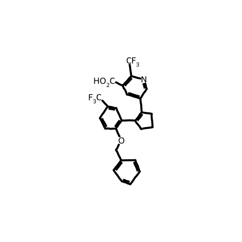 O=C(O)c1cc(C2=C(c3cc(C(F)(F)F)ccc3OCc3ccccc3)CCC2)cnc1C(F)(F)F